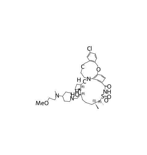 COCCN(C)C1CCN(C[C@@]2(O)CCC[C@H](C)[C@@H](C)S(=O)(=O)NC(=O)c3ccc4c(c3)N(CCCCc3cc(Cl)ccc3CO4)C[C@@H]3CC[C@H]32)CC1